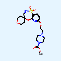 CC(C)(C)OC(=O)N1CCN(CCOc2ccc3c(n2)OC2(CCOCC2)CNS3(=O)=O)CC1